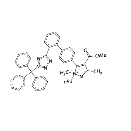 CCCC[N+]1(C)N=C(C)C(C(=O)OC)=C1c1ccc(-c2ccccc2-c2nnn(C(c3ccccc3)(c3ccccc3)c3ccccc3)n2)cc1